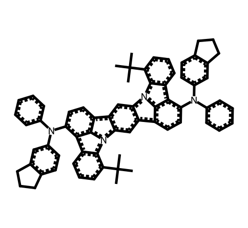 CC(C)(C)c1cccc2c3c(N(c4ccccc4)c4ccc5c(c4)CCC5)ccc4c5cc6c(cc5n(c12)c43)c1ccc(N(c2ccccc2)c2ccc3c(c2)CCC3)c2c3cccc(C(C)(C)C)c3n6c12